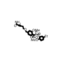 CCc1ccc(OC)c(S(=O)(=O)Nc2noc3cc(COCCC#CC(N)=O)cc(OC)c23)c1